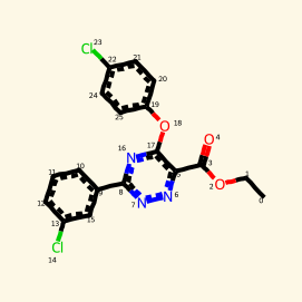 CCOC(=O)c1nnc(-c2cccc(Cl)c2)nc1Oc1ccc(Cl)cc1